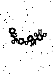 Cn1nc(C2CCC(=O)NC2=O)c2cccc(OC3CCN(C(=O)c4cc5c(s4)CCCC5)CC3)c21